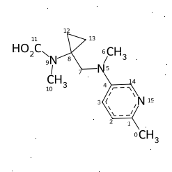 Cc1ccc(N(C)CC2(N(C)C(=O)O)CC2)cn1